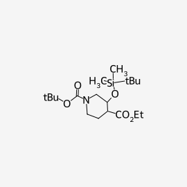 CCOC(=O)C1CCN(C(=O)OC(C)(C)C)CC1O[Si](C)(C)C(C)(C)C